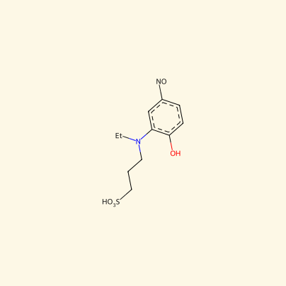 CCN(CCCS(=O)(=O)O)c1cc(N=O)ccc1O